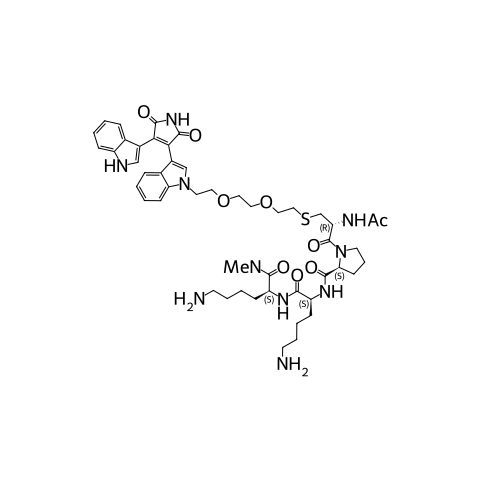 CNC(=O)[C@H](CCCCN)NC(=O)[C@H](CCCCN)NC(=O)[C@@H]1CCCN1C(=O)[C@H](CSCCOCCOCCn1cc(C2=C(c3c[nH]c4ccccc34)C(=O)NC2=O)c2ccccc21)NC(C)=O